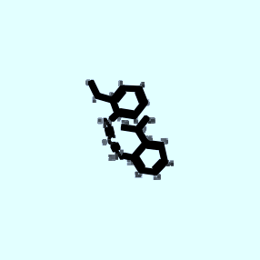 CCc1ccccc1N=C=Nc1ccccc1C(C)C